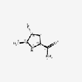 C[C@@H]1N[C@H](C(N)=O)C[C@H]1F